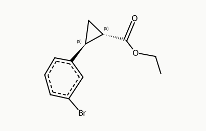 CCOC(=O)[C@H]1C[C@@H]1c1cccc(Br)c1